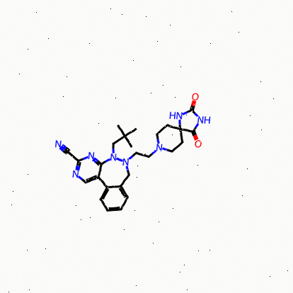 CC(C)(C)CN1c2nc(C#N)ncc2-c2ccccc2CN1CCN1CCC2(CC1)NC(=O)NC2=O